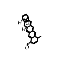 CC1C=C[C@@H](C=O)c2cc3c(cc21)=CC1=CC2=C(C[C@@H]1C=3)[C@H]1C=CC2C1=O